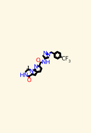 C[C@@H]1CNC(=O)c2cc3ccc(C(=O)Nc4cnn(Cc5ccc(C(F)(F)F)cc5)c4)nc3n21